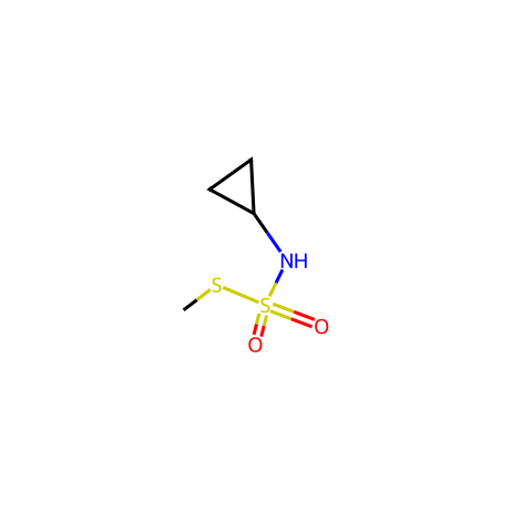 CSS(=O)(=O)NC1CC1